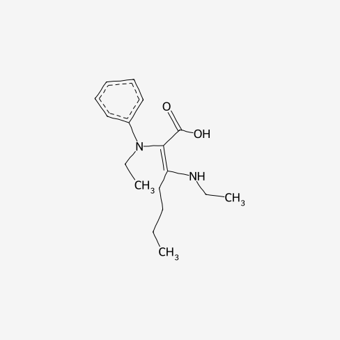 CCCC/C(NCC)=C(/C(=O)O)N(CC)c1ccccc1